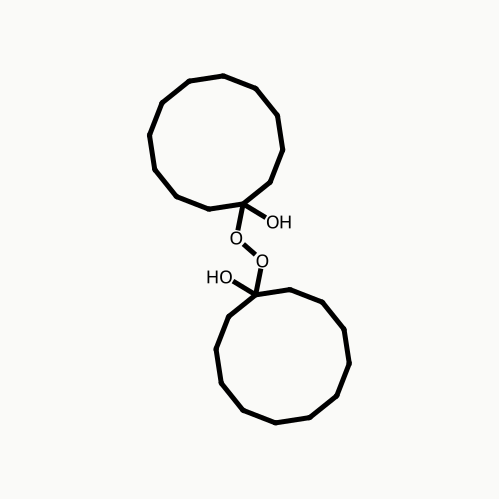 OC1(OOC2(O)CCCCCCCCCCC2)CCCCCCCCCCC1